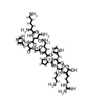 N=C(N)NCC/C=C(\NC(=O)[C@H](CCCCN)NC(=O)[C@H](Cc1cnc[nH]1)NC(=O)[C@@H]1CCCN1C(=O)/C(CCCN)=N/C(=O)CNC(=O)[C@H](Cc1cnc[nH]1)NC(=O)[C@@H](NC(=O)[C@@H](N)CCCCN)[C@@H](O)CN)C(=O)O